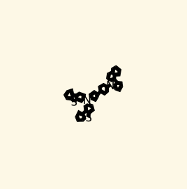 C1=C(c2ccc(N(c3ccc4c(c3)sc3ccccc34)c3ccc4sc5ccccc5c4c3)cc2)CCC(n2c3ccccc3c3c4ccccc4ccc32)=C1